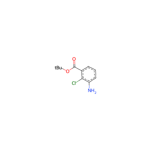 CC(C)(C)OC(=O)c1cccc(N)c1Cl